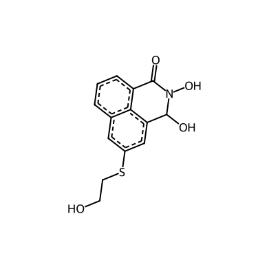 O=C1c2cccc3cc(SCCO)cc(c23)C(O)N1O